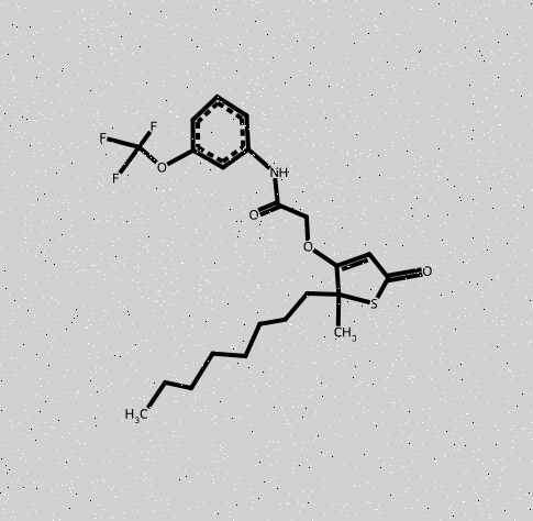 CCCCCCCCC1(C)SC(=O)C=C1OCC(=O)Nc1cccc(OC(F)(F)F)c1